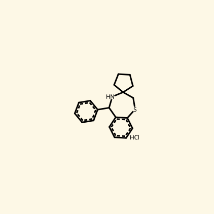 Cl.c1ccc(C2NC3(CCCC3)CSc3ccccc32)cc1